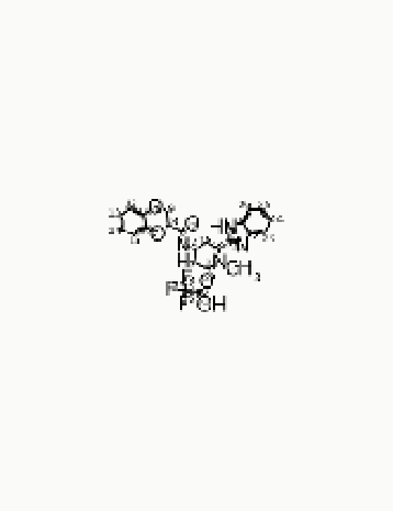 CN1CC[C@@H](NC(=O)[C@@H]2COc3ccccc3O2)C[C@@H]1c1nc2ccccc2[nH]1.O=C(O)C(F)(F)F